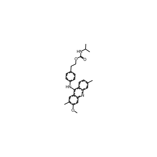 COc1cc2nc3cc(C)ccc3c(Nc3ccc(CCOC(=O)NC(C)C)cc3)c2cc1C